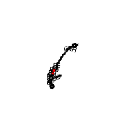 CCOCOC1C2OC(c3ccccc3)OCC2OC(OC)C1OS(=O)(=O)C(F)(F)C(F)(F)OC(F)(F)C(F)(F)CCCCCCCCCCC(=O)NCc1ccc(C)cc1